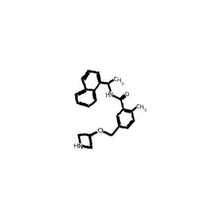 Cc1ccc(COC2CNC2)cc1C(=O)NC(C)c1cccc2ccccc12